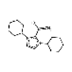 C=C(O)c1n(C2CCCCC2)cc[n+]1C1CCCCC1